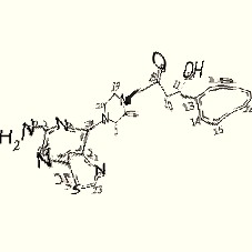 Nc1nc(N2CCN(C(=O)C[C@H](O)c3ccccc3)CC2)c2ncsc2n1